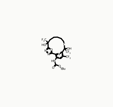 CC(C)(C)OC(=O)Nc1cc(C(F)(F)F)c2nc1-c1nnc(o1)C(O)(C(F)(F)F)CCCCCCC2(O)C(F)(F)F